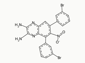 Nc1nc2cc(-c3cccc(Br)c3)c([N+](=O)[O-])c(-c3cccc(Br)c3)c2nc1N